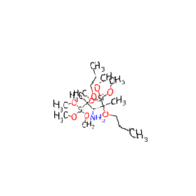 CCCOC(C)(C(N)C(C)(OCCC)[Si](OC)(OC)OC)[Si](OC)(OC)OC